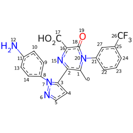 Cc1c(-c2ccnn2-c2ccc(N)cc2)nc(C(=O)O)c(=O)n1-c1cccc(C(F)(F)F)c1